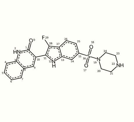 O=c1[nH]c2ccccc2cc1-c1[nH]c2cc(S(=O)(=O)N3CCNCC3)ccc2c1F